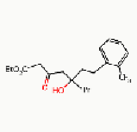 CCOC(=O)CC(=O)CC(O)(CCc1ccccc1C(F)(F)F)C(C)C